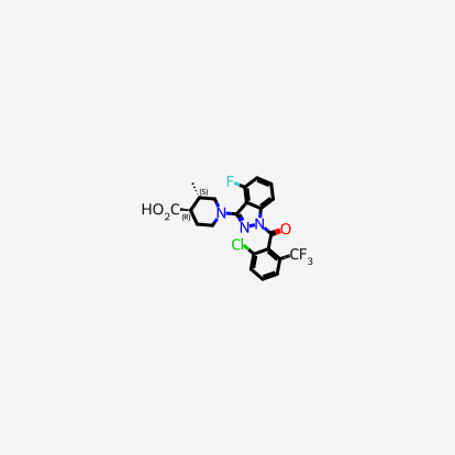 C[C@@H]1CN(c2nn(C(=O)c3c(Cl)cccc3C(F)(F)F)c3cccc(F)c23)CC[C@H]1C(=O)O